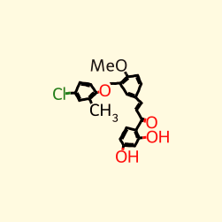 COc1ccc(/C=C/C(=O)c2ccc(O)cc2O)cc1COc1ccc(Cl)cc1C